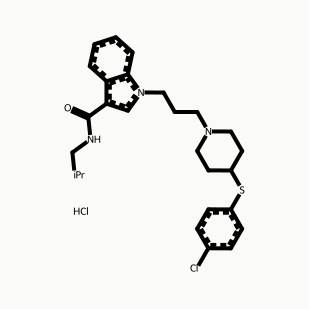 CC(C)CNC(=O)c1cn(CCCN2CCC(Sc3ccc(Cl)cc3)CC2)c2ccccc12.Cl